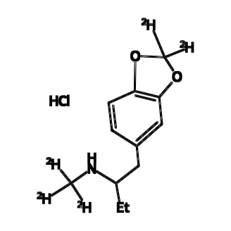 Cl.[2H]C([2H])([2H])NC(CC)Cc1ccc2c(c1)OC([2H])([2H])O2